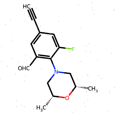 C#Cc1cc(F)c(N2C[C@@H](C)O[C@@H](C)C2)c(C=O)c1